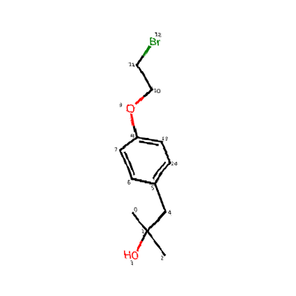 CC(C)(O)Cc1ccc(OCCBr)cc1